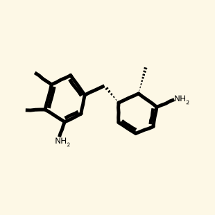 Cc1cc(C[C@H]2C=CC=C(N)[C@H]2C)cc(N)c1C